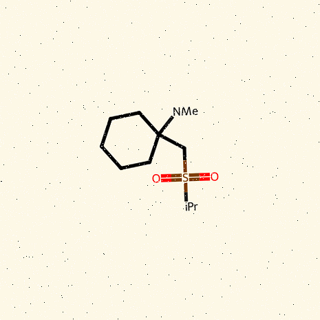 CNC1(CS(=O)(=O)C(C)C)CCCCC1